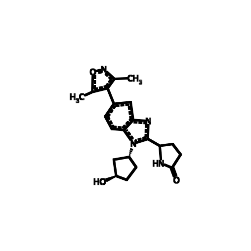 Cc1noc(C)c1-c1ccc2c(c1)nc(C1CCC(=O)N1)n2[C@@H]1CC[C@@H](O)C1